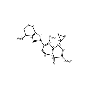 CNC1CCCc2sc(-c3ccc4c(=O)c(C(=O)O)cn(C5CC5)c4c3OC)cc21